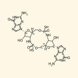 Nc1nc2c(ncn2[C@@H]2O[C@@H]3COP(=O)(S)NC4C(O)[C@H](n5cnc6c(=O)[nH]c(N)nc65)O[C@@H]4COP(=O)(S)NC3C2O)c(=O)[nH]1